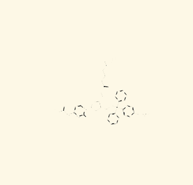 COc1ccc(C(OC[C@H]2C[C@H](n3ccc(NC(=O)OC(C)(C)C)nc3=O)O[C@@H]2COC(=O)CCCCC(=O)O)(c2ccccc2)c2ccccc2)cc1